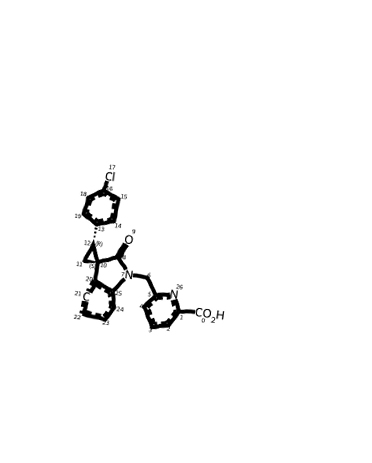 O=C(O)c1cccc(CN2C(=O)[C@]3(C[C@@H]3c3ccc(Cl)cc3)c3ccccc32)n1